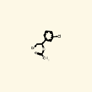 CC(=O)OC(CBr)c1cccc(Cl)c1